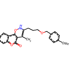 COc1ccc(COCCCC2=C(C)c3c(c4ccccc4oc3=O)ON2)cc1